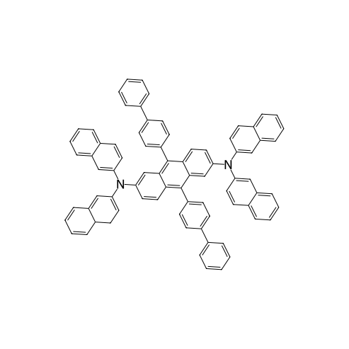 C1=CC2=CC(N(c3ccc4ccccc4c3)c3ccc4c(-c5ccc(-c6ccccc6)cc5)c5cc(N(c6ccc7ccccc7c6)c6ccc7ccccc7c6)ccc5c(-c5ccc(-c6ccccc6)cc5)c4c3)=CCC2C=C1